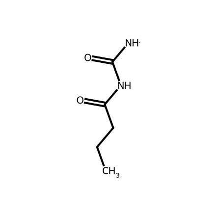 CCCC(=O)NC([NH])=O